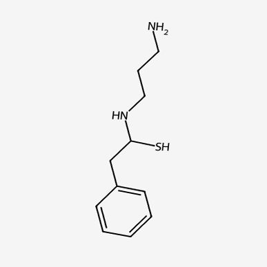 NCCCNC(S)Cc1ccccc1